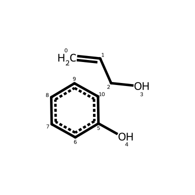 C=CCO.Oc1ccccc1